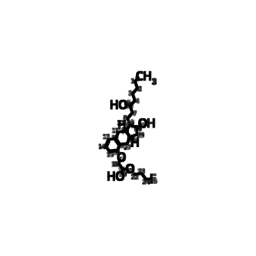 CCCCC[C@H](O)CC[C@@H]1[C@H]2Cc3cccc(OCC(O)OCCCF)c3C[C@H]2C[C@H]1O